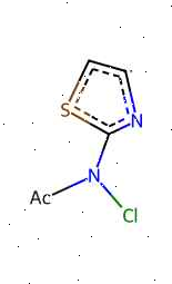 CC(=O)N(Cl)c1n[c]cs1